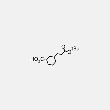 CC(C)(C)OC(=O)CCC1CCC[C@H](C(=O)O)C1